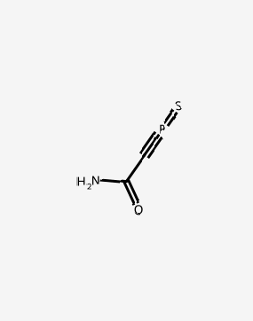 NC(=O)C#P=S